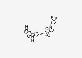 O=C1Nc2cc(/C=C/CNC(=O)C3CCCN(Cc4ccc(F)c(F)c4)C3=O)ccc2C1=Cc1ccc[nH]1